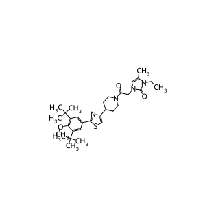 CCn1c(C)cn(CC(=O)N2CCC(c3csc(-c4cc(C(C)(C)C)c(OC)c(C(C)(C)C)c4)n3)CC2)c1=O